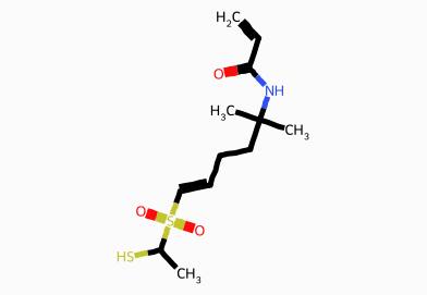 C=CC(=O)NC(C)(C)CC/C=C/S(=O)(=O)C(C)S